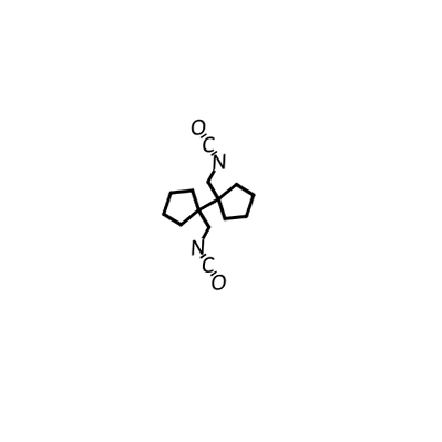 O=C=NCC1(C2(CN=C=O)CCCC2)CCCC1